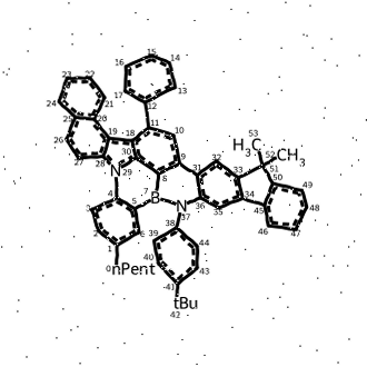 CCCCCc1ccc2c(c1)B1c3c(cc(-c4ccccc4)c4c5c6ccccc6ccc5n-2c34)-c2cc3c(cc2N1c1ccc(C(C)(C)C)cc1)-c1ccccc1C3(C)C